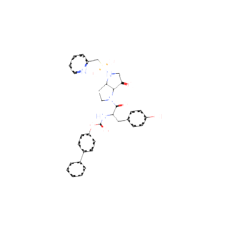 O=C(NC(Cc1ccc(O)cc1)C(=O)N1CCC2C1C(=O)CN2S(=O)(=O)Cc1ccccn1)Oc1ccc(-c2ccccc2)cc1